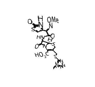 CO/N=C(/C(=O)NC1C(=O)N2C(C(=O)O)=C(CSc3nnnn3C)CS[C@H]12)c1csc(=O)[nH]1